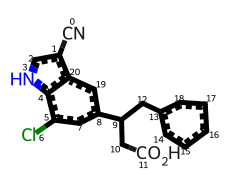 N#Cc1c[nH]c2c(Cl)cc(C(CC(=O)O)Cc3ccccc3)cc12